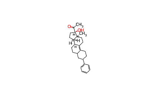 CC(=O)[C@@]1(O)CC[C@H]2[C@@H]3CCC4CC(c5ccccc5)CCC4=C3CC[C@@]21C